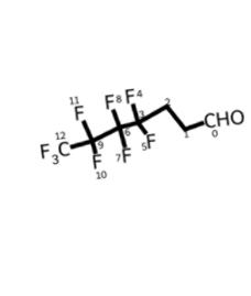 O=CCCC(F)(F)C(F)(F)C(F)(F)C(F)(F)F